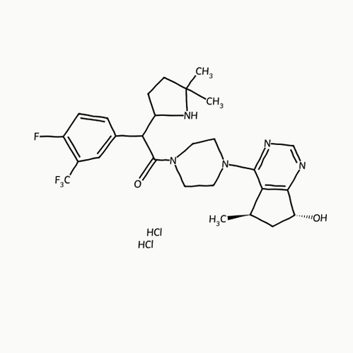 C[C@@H]1C[C@@H](O)c2ncnc(N3CCN(C(=O)C(c4ccc(F)c(C(F)(F)F)c4)C4CCC(C)(C)N4)CC3)c21.Cl.Cl